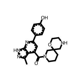 Cc1n[nH]c2nc(-c3ccc(O)cc3)cc(C(=O)N3CCCC4(CNCCO4)C3)c12